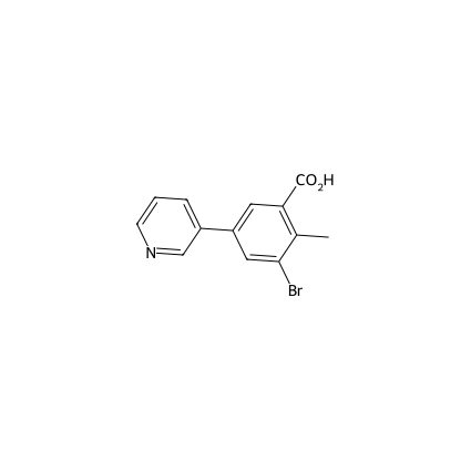 Cc1c(Br)cc(-c2cccnc2)cc1C(=O)O